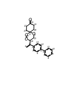 C=C(c1ccc(-c2ccccc2)cc1)C1COC2(CCC(=O)CC2)OO1